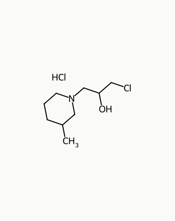 CC1CCCN(CC(O)CCl)C1.Cl